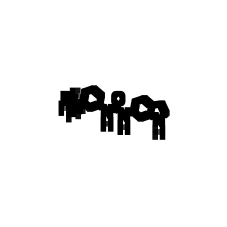 O=C(Nc1cccc(S(F)(F)(F)(F)F)c1)Nc1ccc2cc[nH]c2c1